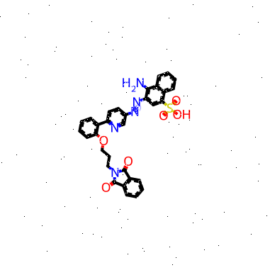 Nc1c(/N=N/c2ccc(-c3ccccc3OCCCN3C(=O)c4ccccc4C3=O)nc2)cc(S(=O)(=O)O)c2ccccc12